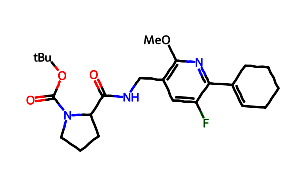 COc1nc(C2=CCCCC2)c(F)cc1CNC(=O)C1CCCN1C(=O)OC(C)(C)C